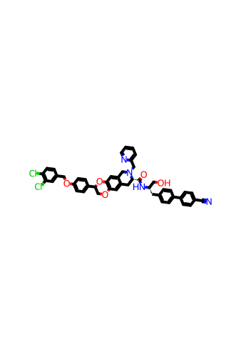 N#Cc1ccc(-c2ccc(C[C@@H](CO)NC(=O)[C@@H]3Cc4cc5c(cc4CN3Cc3ccccn3)OC(c3ccc(OCc4ccc(Cl)c(Cl)c4)cc3)CO5)cc2)cc1